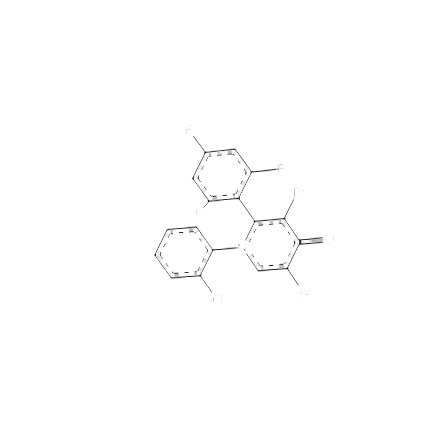 O=c1c(Br)cn(-c2ccccc2Cl)c(-c2c(F)cc(F)cc2F)c1Br